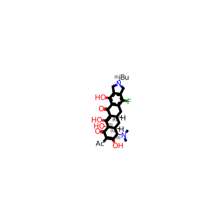 CC[C@H](C)N1Cc2c(O)c3c(c(F)c2C1)C[C@H]1C[C@H]2[C@H](N(C)C)C(O)=C(C(C)=O)C(=O)[C@@]2(O)C(O)=C1C3=O